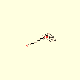 C=C(C)C(=O)O.C=C(C)C(=O)O.OCCCCCCCCCCCO